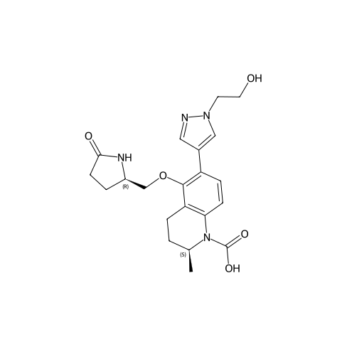 C[C@H]1CCc2c(ccc(-c3cnn(CCO)c3)c2OC[C@H]2CCC(=O)N2)N1C(=O)O